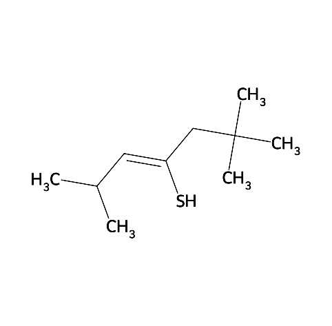 CC(C)/C=C(\S)CC(C)(C)C